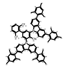 Cc1cc(C)c(-c2ccc3c(c2)c2cc(-c4c(C)cc(C)cc4C)ccc2n3-c2cc(-c3c(C(F)(F)F)cccc3C(F)(F)F)cc(-n3c4ccc(-c5c(C)cc(C)cc5C)cc4c4cc(-c5c(C)cc(C)cc5C)ccc43)c2C#N)c(C)c1